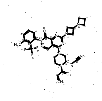 C=CC(=O)N1CCN(c2nc(N3CC(N4CCC4)C3)nc3c(=O)n(-c4cccc(C)c4C(F)(F)F)ncc23)C[C@@H]1CC#N